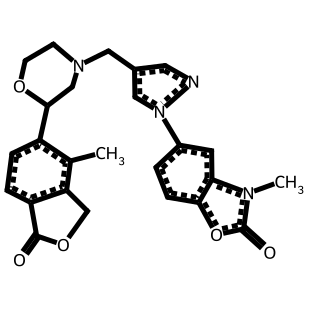 Cc1c(C2CN(Cc3cnn(-c4ccc5oc(=O)n(C)c5c4)c3)CCO2)ccc2c1COC2=O